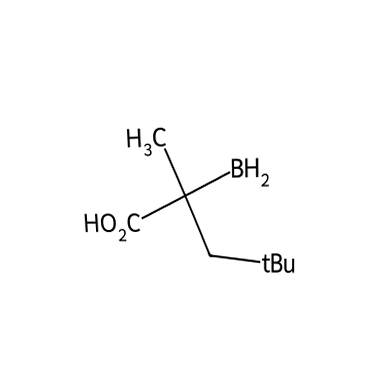 BC(C)(CC(C)(C)C)C(=O)O